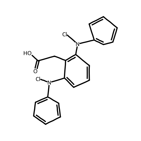 O=C(O)Cc1c(N(Cl)c2ccccc2)cccc1N(Cl)c1ccccc1